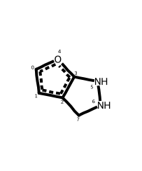 c1cc2c(o1)NNC2